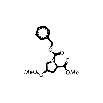 COOC1CC(C(=O)OC)N(C(=O)OCc2ccccc2)C1